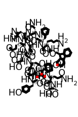 CC(C)C[C@H](NC(=O)[C@H](CC(=O)O)NC(=O)[C@H](CCC(=O)O)NC(=O)[C@H](C)NC(=O)[C@H](CCC(=O)O)NC(=O)[C@H](Cc1c[nH]cn1)NC(=O)[C@H](CC(N)=O)NC(=O)[C@H](Cc1ccccc1)NC(=O)[C@H](CCCCN)NC(=O)OCC1c2ccccc2-c2ccccc21)C(=O)N[C@@H](Cc1ccc(O)cc1)C(=O)N[C@@H](Cc1ccc(O)cc1)C(=O)N[C@@H](CCC(N)=O)C(=O)N[C@@H](CO)C(=O)O